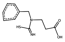 N=C(S)N(CCC(=O)O)Cc1ccccc1